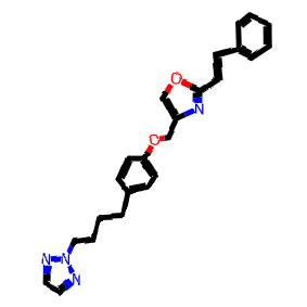 C(=C\c1nc(COc2ccc(CCCCn3nccn3)cc2)co1)/c1ccccc1